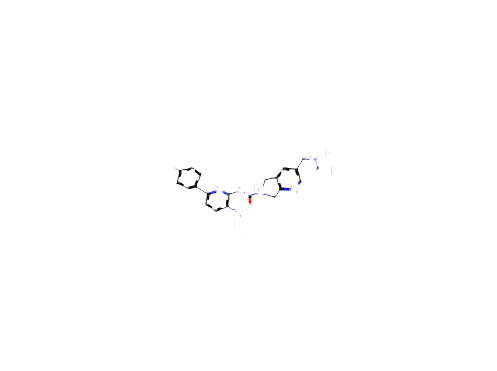 CN(C)Cc1cnc2c(c1)CN(C(=O)Nc1nc(-c3ccc(F)cc3)ccc1N)C2